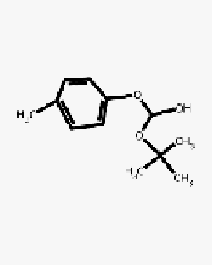 Cc1ccc(OC(O)OC(C)(C)C)cc1